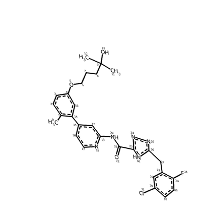 Cc1ccc(OCCCC(C)(C)O)cc1-c1ccnc(NC(=O)c2nnc(Cc3cc(Cl)ccc3F)[nH]2)c1